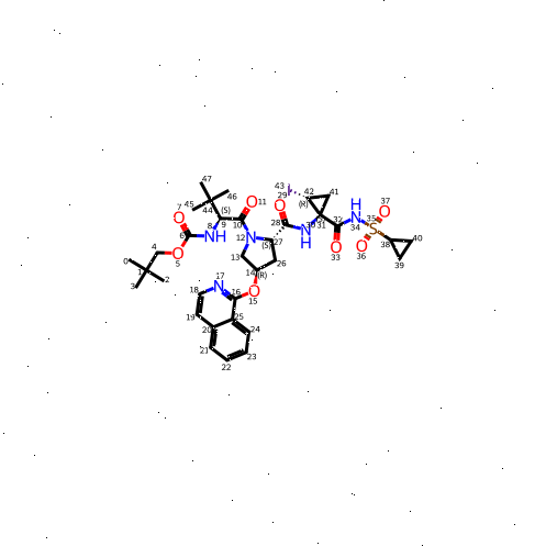 CC(C)(C)COC(=O)N[C@H](C(=O)N1C[C@H](Oc2nccc3ccccc23)C[C@H]1C(=O)N[C@]1(C(=O)NS(=O)(=O)C2CC2)C[C@H]1I)C(C)(C)C